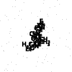 C=C(OCC)c1cc(-n2c(C)cc(OCc3ncc(F)cc3F)c(Cl)c2=O)c(C)cn1